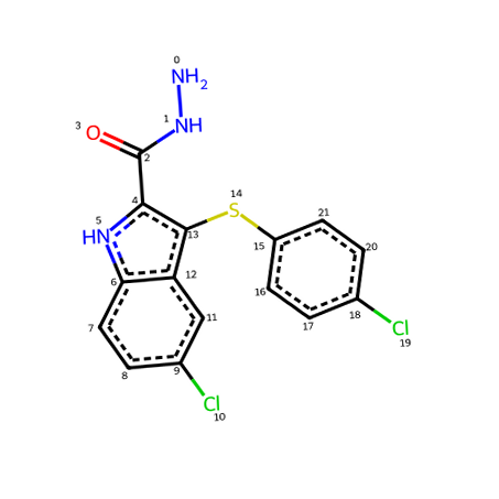 NNC(=O)c1[nH]c2ccc(Cl)cc2c1Sc1ccc(Cl)cc1